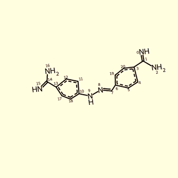 N=C(N)c1ccc(/C=N/Nc2ccc(C(=N)N)cc2)cc1